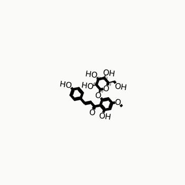 COc1cc(O)c(C(=O)C=Cc2ccc(O)cc2)c(O[C@@H]2O[C@H](CO)[C@@H](O)[C@H](O)[C@H]2O)c1